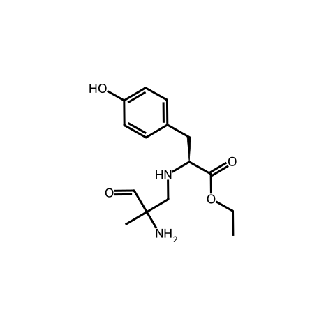 CCOC(=O)[C@H](Cc1ccc(O)cc1)NCC(C)(N)C=O